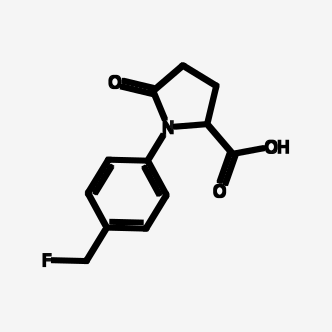 O=C(O)C1CCC(=O)N1c1ccc(CF)cc1